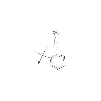 [CH2]C#Cc1ccccc1C(F)(F)F